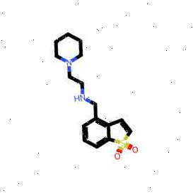 O=S1(=O)C=Cc2c(CNCCN3CCCCC3)cccc21